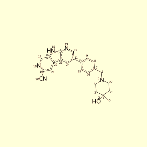 CC1(O)CCN(Cc2ccc(-c3cnc4[nH]c5cnc(C#N)cc5c4c3)cc2)CC1